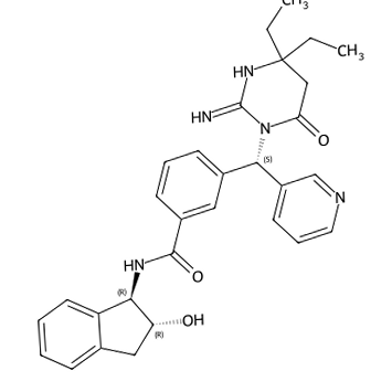 CCC1(CC)CC(=O)N([C@H](c2cccnc2)c2cccc(C(=O)N[C@@H]3c4ccccc4C[C@H]3O)c2)C(=N)N1